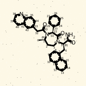 C[C@@H]1CCN([C@H](Cc2cccc3ccccc23)C(N)=O)C(=O)[C@H](c2ccccc2)N1C(=O)Cc1ccc2ncccc2c1